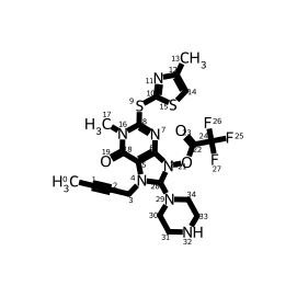 CC#CCN1c2c(nc(Sc3nc(C)cs3)n(C)c2=O)N(OC(=O)C(F)(F)F)C1N1CCNCC1